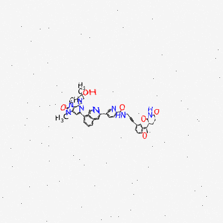 Cn1c(=O)n(C)c2c(N3CC(C)(O)C3)nc(-c3cccc4cc(-c5ccc(C(=O)NCC#Cc6ccc7occ(C8CCC(=O)NC8=O)c7c6)nc5)ncc34)cc21